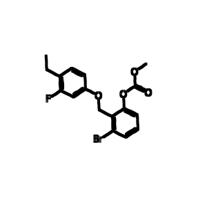 CCc1ccc(OCc2c(Br)cccc2OC(=O)OC)cc1F